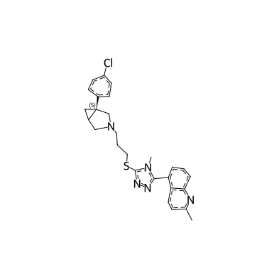 Cc1ccc2c(-c3nnc(SCCCN4CC5C[C@]5(c5ccc(Cl)cc5)C4)n3C)cccc2n1